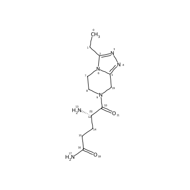 CCc1nnc2n1CCN(C(=O)[C@@H](N)CCC(N)=O)C2